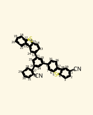 N#Cc1ccc2sc3cc(-c4cc(-c5ccc6sc7ccccc7c6c5)cc(-c5ccccc5C#N)c4)ccc3c2c1